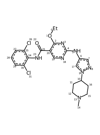 CCOc1nc(Nc2cnn(C3CCN(C)CC3)c2)ncc1C(=O)Nc1c(Cl)cccc1Cl